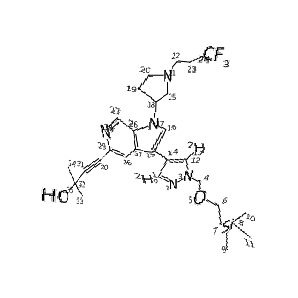 [2H]c1nn(COCC[Si](C)(C)C)c([2H])c1-c1cn(C2CCN(CCC(F)(F)F)C2)c2cnc(C#CC(C)(C)O)cc12